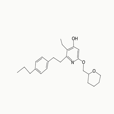 CCCc1ccc(CCc2nc(OCC3CCCCO3)cc(O)c2CC)cc1